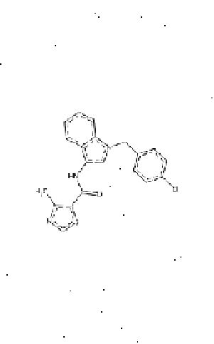 Cc1ncsc1C(=O)Nc1cn(Cc2ccc(Cl)cc2)c2ccccc12